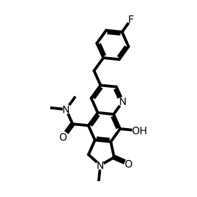 CN(C)C(=O)c1c2c(c(O)c3ncc(Cc4ccc(F)cc4)cc13)C(=O)N(C)C2